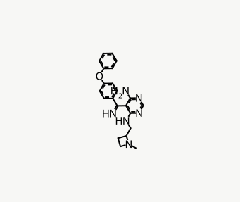 CN1CCC1CNc1ncnc(N)c1C(=N)c1ccc(Oc2ccccc2)cc1